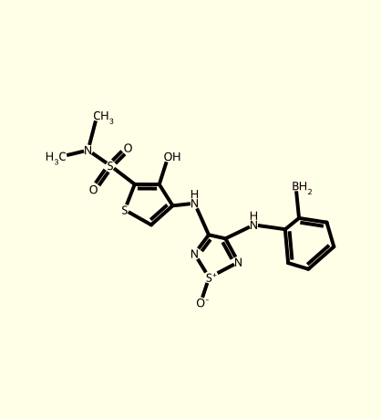 Bc1ccccc1Nc1n[s+]([O-])nc1Nc1csc(S(=O)(=O)N(C)C)c1O